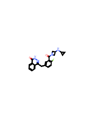 O=C(c1cc(Cc2n[nH]c(=O)c3ccccc23)ccc1F)N1CC(NC2CC2)C1